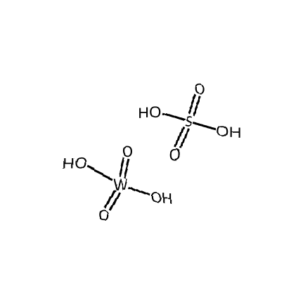 O=S(=O)(O)O.[O]=[W](=[O])([OH])[OH]